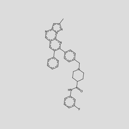 Cc1cc2ncc3cc(-c4ccccc4)c(-c4ccc(CN5CCC(C(=O)Nc6cccc(F)c6)CC5)cc4)nc3n2n1